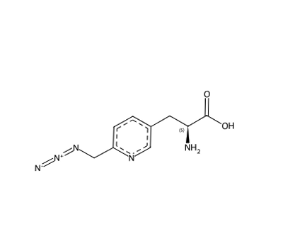 [N-]=[N+]=NCc1ccc(C[C@H](N)C(=O)O)cn1